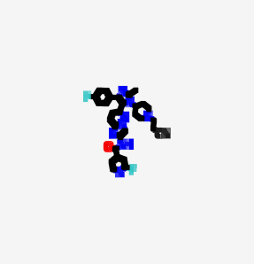 Cc1nc(-c2ccc(F)cc2)c(-c2ccc3nc(NC(=O)c4ccnc(F)c4)cn3n2)n1C1CCN(CCC#N)CC1